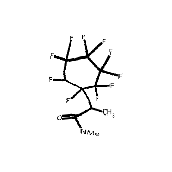 CNC(=O)C(C)C1(F)C(F)C(F)(F)C(F)(F)C(F)(F)C1(F)F